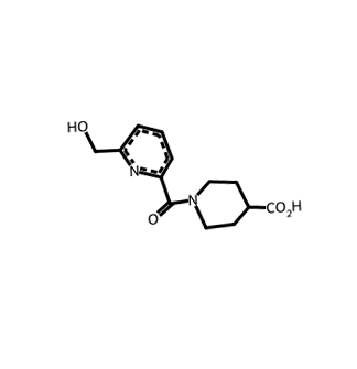 O=C(O)C1CCN(C(=O)c2cccc(CO)n2)CC1